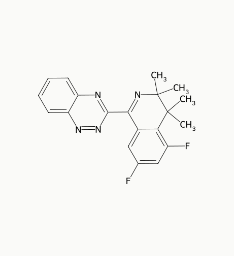 CC1(C)N=C(c2nnc3ccccc3n2)c2cc(F)cc(F)c2C1(C)C